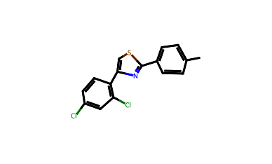 Cc1ccc(-c2nc(-c3ccc(Cl)cc3Cl)cs2)cc1